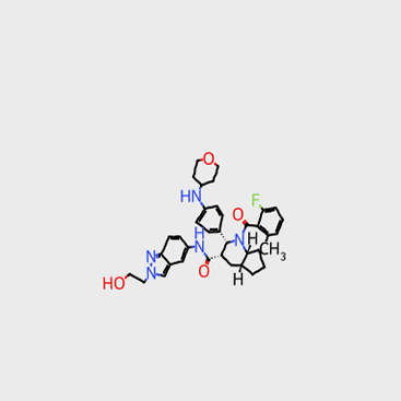 Cc1cccc(F)c1C(=O)N1[C@@H]2CCC[C@@H]2C[C@H](C(=O)Nc2ccc3nn(CCO)cc3c2)[C@@H]1c1ccc(NC2CCOCC2)cc1